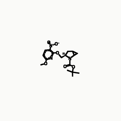 COc1ccc([N+](=O)[O-])c(OC[C@H]2CC3CC3N2C(=O)OC(C)(C)C)n1